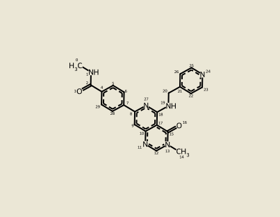 CNC(=O)c1ccc(-c2cc3ncn(C)c(=O)c3c(NCc3ccncc3)n2)cc1